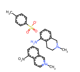 CN1CCc2c(N)cccc2C1.C[n+]1ccc2c([N+](=O)[O-])cccc2c1.Cc1ccc(S(=O)(=O)[O-])cc1